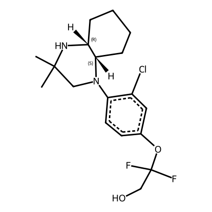 CC1(C)CN(c2ccc(OC(F)(F)CO)cc2Cl)[C@H]2CCCC[C@H]2N1